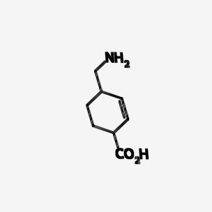 NCC1C=CC(C(=O)O)CC1